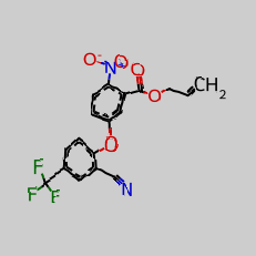 C=CCOC(=O)c1cc(Oc2ccc(C(F)(F)F)cc2C#N)ccc1[N+](=O)[O-]